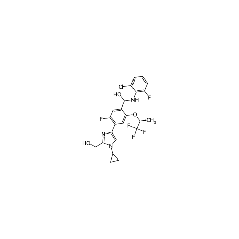 C[C@H](Oc1cc(-c2cn(C3CC3)c(CO)n2)c(F)cc1C(O)Nc1c(F)cccc1Cl)C(F)(F)F